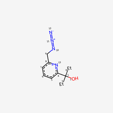 CCC(O)(CC)c1cccc(CN=[N+]=[N-])n1